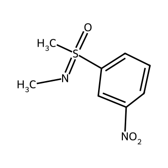 CN=S(C)(=O)c1cccc([N+](=O)[O-])c1